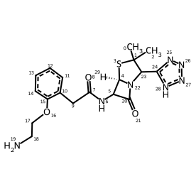 CC1(C)S[C@@H]2C(NC(=O)Cc3ccccc3OCCN)C(=O)N2C1c1nnn[nH]1